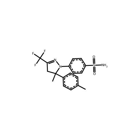 Cc1ccc(C2(C)CC(C(F)(F)F)=NN2c2ccc(S(N)(=O)=O)cc2)cc1